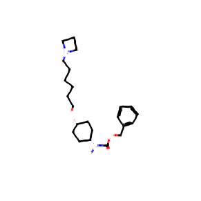 CN(C(=O)OCc1ccccc1)[C@H]1CC[C@H](OCCCCCCN2CCC2)CC1